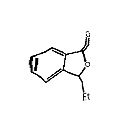 [CH2]CC1OC(=O)c2ccccc21